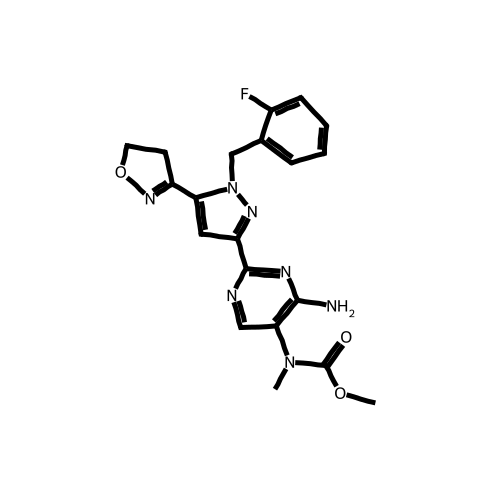 COC(=O)N(C)c1cnc(-c2cc(C3=NOCC3)n(Cc3ccccc3F)n2)nc1N